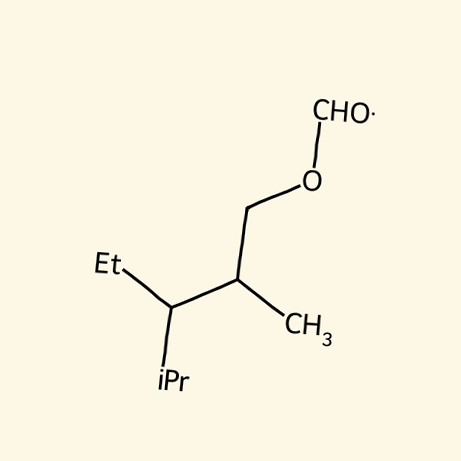 CCC(C(C)C)C(C)CO[C]=O